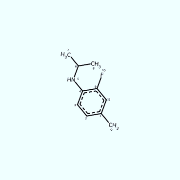 Cc1ccc(NC(C)C)c(F)c1